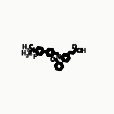 CN(C)c1ccc(-c2ccc(CN(C(=O)C3CCCCC3)c3cccc(C=CC(=O)O)c3)cc2)cc1F